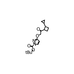 CC(C)(C)OC(=O)n1ccc(OCC(=O)C2CCC2C2CC2)n1